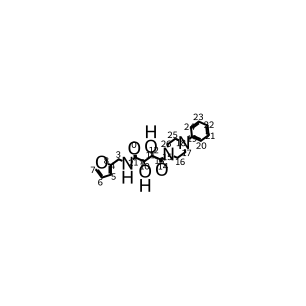 O=C(NCc1ccco1)[C@H](O)[C@@H](O)C(=O)N1CCN(c2ccccc2)CC1